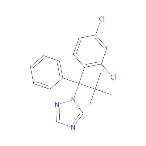 CC(C)(C)C(c1ccccc1)(c1ccc(Cl)cc1Cl)n1cncn1